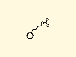 [O]C(=O)OCCCCc1ccccc1